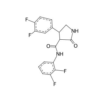 O=C1NCC(c2ccc(F)c(F)c2)C1C(=O)Nc1cccc(F)c1F